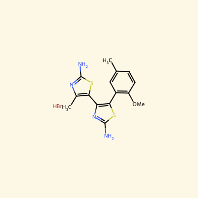 Br.COc1ccc(C)cc1-c1sc(N)nc1-c1sc(N)nc1C